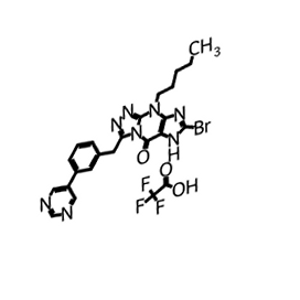 CCCCCn1c2nc(Br)[nH]c2c(=O)n2c(Cc3cccc(-c4cncnc4)c3)nnc12.O=C(O)C(F)(F)F